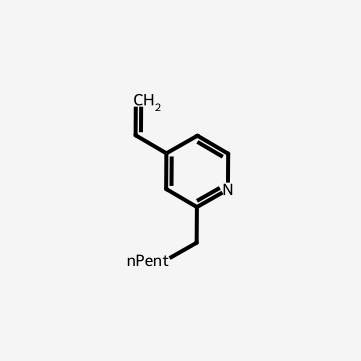 C=Cc1ccnc(CCCCCC)c1